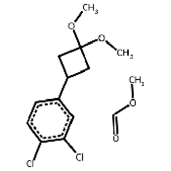 COC1(OC)CC(c2ccc(Cl)c(Cl)c2)C1.COC=O